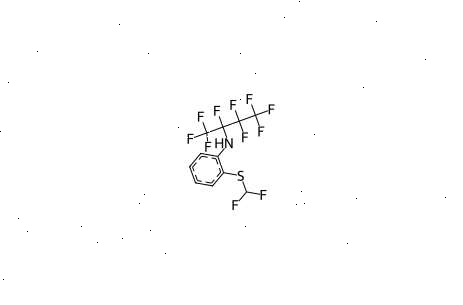 FC(F)Sc1ccccc1NC(F)(C(F)(F)F)C(F)(F)C(F)(F)F